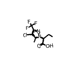 CCC(C(=O)O)n1nc(C(F)(F)F)c(Cl)c1C